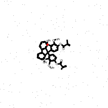 C=C(C)C(=O)Oc1ccc(C2(c3ccc(OC(=O)C(=C)C)c(OCCC)c3OCCC)c3ccccc3-c3ccccc32)c(OCCC)c1OCCC